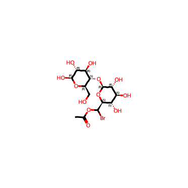 CC(=O)OC(Br)[C@H]1O[C@@H](O[C@H]2[C@H](O)[C@@H](O)[C@H](O)O[C@@H]2CO)[C@H](O)[C@@H](O)[C@@H]1O